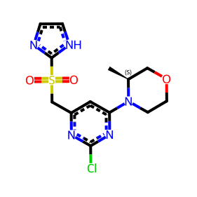 C[C@H]1COCCN1c1cc(CS(=O)(=O)c2ncc[nH]2)nc(Cl)n1